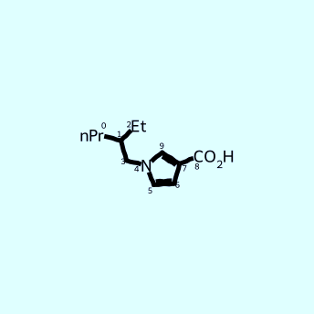 CCCC(CC)Cn1ccc(C(=O)O)c1